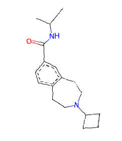 CC(C)NC(=O)c1ccc2c(c1)CCN(C1CCC1)CC2